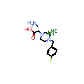 Cl.Cl.Cl.NC[C@@H](C(=O)O)N1CCN(Cc2ccc(F)cc2)CC1